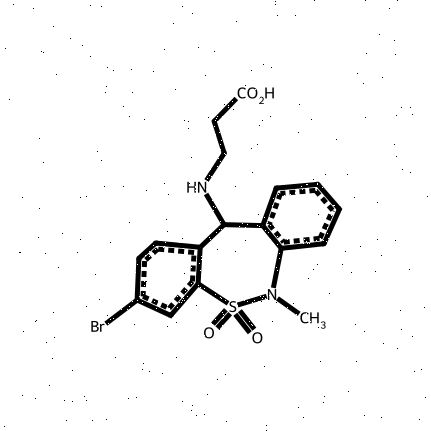 CN1c2ccccc2C(NCCC(=O)O)c2ccc(Br)cc2S1(=O)=O